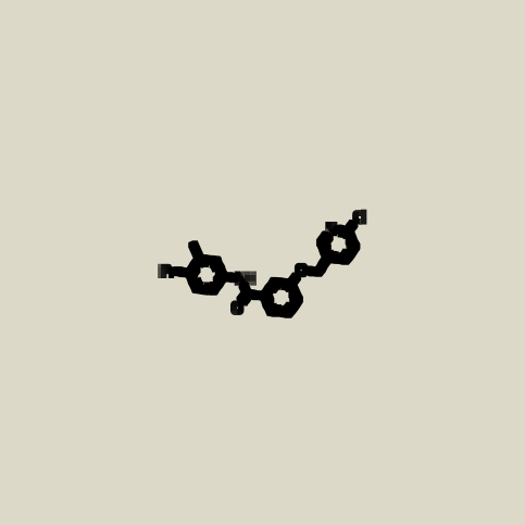 Cc1cc(NC(=O)c2cccc(OCc3ccc(Cl)nc3)c2)ccc1C(C)C